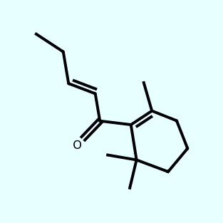 CCC=CC(=O)C1=C(C)CCCC1(C)C